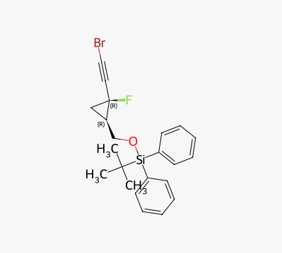 CC(C)(C)[Si](OC[C@H]1C[C@]1(F)C#CBr)(c1ccccc1)c1ccccc1